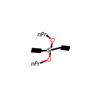 C#C[Si](C#C)(OCCC)OCCC